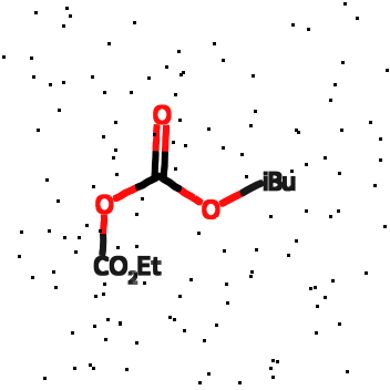 CCOC(=O)OC(=O)OC(C)CC